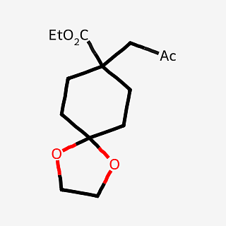 CCOC(=O)C1(CC(C)=O)CCC2(CC1)OCCO2